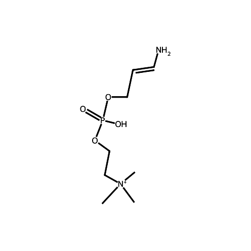 C[N+](C)(C)CCOP(=O)(O)OCC=CN